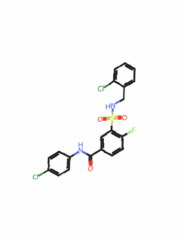 O=C(Nc1ccc(Cl)cc1)c1ccc(F)c(S(=O)(=O)NCc2ccccc2Cl)c1